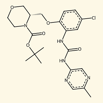 Cc1cnc(NC(=O)Nc2cc(Cl)ccc2OC[C@H]2COCCN2C(=O)OC(C)(C)C)cn1